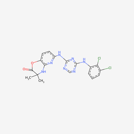 CC1(C)Nc2nc(Nc3ncnc(Nc4cccc(Cl)c4Cl)n3)ccc2OC1=O